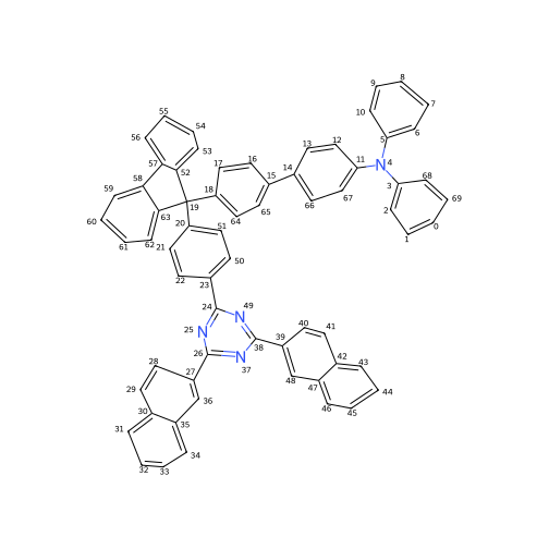 c1ccc(N(c2ccccc2)c2ccc(-c3ccc(C4(c5ccc(-c6nc(-c7ccc8ccccc8c7)nc(-c7ccc8ccccc8c7)n6)cc5)c5ccccc5-c5ccccc54)cc3)cc2)cc1